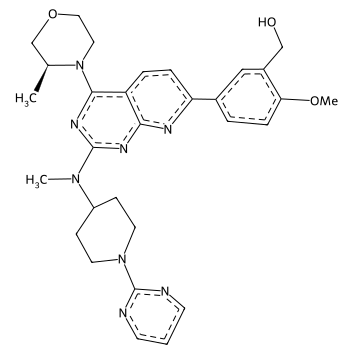 COc1ccc(-c2ccc3c(N4CCOC[C@@H]4C)nc(N(C)C4CCN(c5ncccn5)CC4)nc3n2)cc1CO